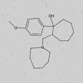 COc1ccc(C2(O)CCCCCC2CN2CCCCCC2)cc1